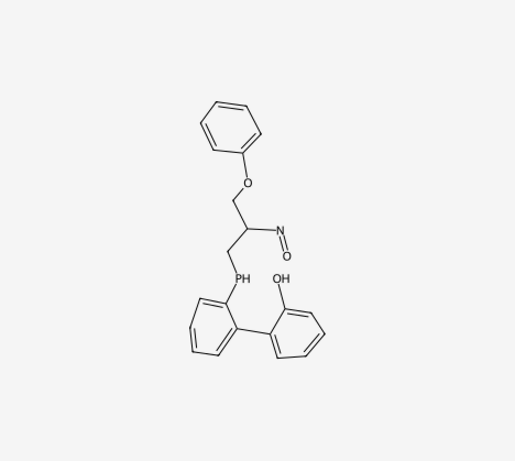 O=NC(COc1ccccc1)CPc1ccccc1-c1ccccc1O